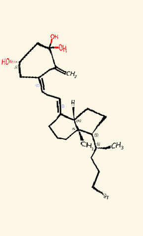 C=C1/C(=C\C=C2/CCC[C@]3(C)[C@H]2CC[C@H]3[C@@H](C)CCCC(C)C)C[C@H](O)CC1(O)O